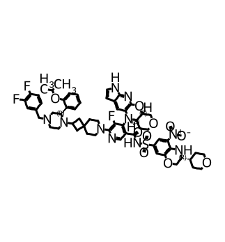 CC(C)Oc1ccccc1[C@@H]1CN(Cc2ccc(F)c(F)c2)CCN1C1CC2(CCN(c3ncc(C(=O)NS(=O)(=O)c4cc5c(c([N+](=O)[O-])c4)N[C@H](C4CCOCC4)CO5)c(N4c5cc6cc[nH]c6nc5O[C@H]5COCC[C@@H]54)c3F)CC2)C1